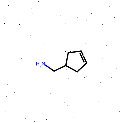 NCC1CC=CC1